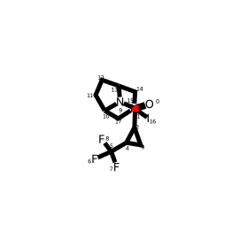 O=C(C1CC1C(F)(F)F)N1C2CCC1CN(I)C2